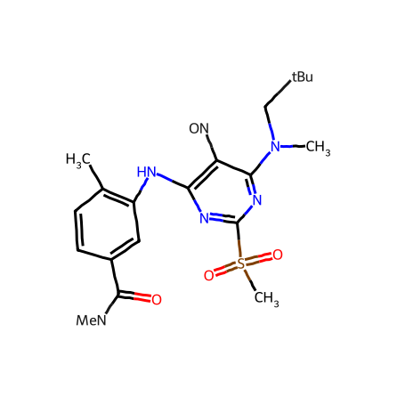 CNC(=O)c1ccc(C)c(Nc2nc(S(C)(=O)=O)nc(N(C)CC(C)(C)C)c2N=O)c1